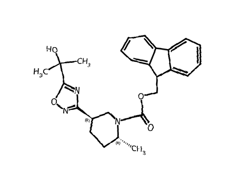 C[C@@H]1CC[C@@H](c2noc(C(C)(C)O)n2)CN1C(=O)OCC1c2ccccc2-c2ccccc21